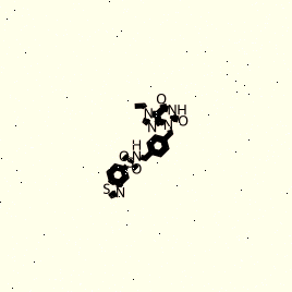 CCn1cnc2c1c(=O)[nH]c(=O)n2Cc1ccc(CNS(=O)(=O)c2ccc3scnc3c2)cc1